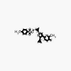 Cc1ccc(S(=O)(=O)OC[C@@H]2C[C@H]2n2cc(-c3ccc(F)c(C)n3)c(C3CC3)n2)cc1